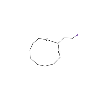 ICCC1CCCCCCCCCC1